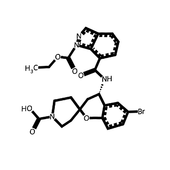 CCOC(=O)n1ncc2cccc(C(=O)N[C@H]3CC4(CCN(C(=O)O)CC4)Oc4ccc(Br)cc43)c21